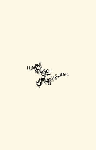 C#C[C@]1(CO[P@](=O)(N[C@@H](C)C(=O)OCCCCCCCCCCCCCCC)Oc2ccccc2)O[C@@H](n2cnc3c(N)nc(F)nc32)C[C@@H]1O